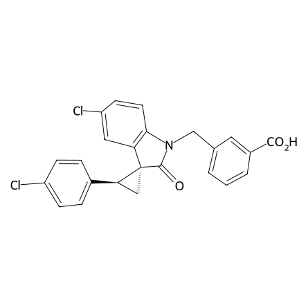 O=C(O)c1cccc(CN2C(=O)[C@]3(C[C@H]3c3ccc(Cl)cc3)c3cc(Cl)ccc32)c1